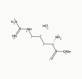 COC(=O)[C@@H](N)CCCNC(=N)N.Cl